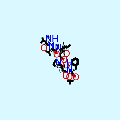 CC[C@H](C)[C@@H]([C@@H](CC(=O)N1CCC[C@H]1[C@H](OC)[C@@H](C)C(=O)N[C@@H](Cc1ccccc1)C(=O)OC(C)(C)C)OC)N(C)C(=O)[C@H](C(C)C)N(C)C(=O)[C@@H](NC)C(C)C